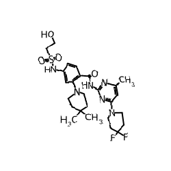 Cc1cc(N2CCC(F)(F)CC2)nc(NC(=O)c2ccc(NS(=O)(=O)CCO)cc2N2CCC(C)(C)CC2)n1